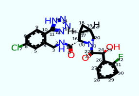 O=C(NCc1cc(Cl)ccc1-c1nnn[nH]1)[C@@H]1[C@H]2C[C@H]2CN1C(=O)C(O)c1ccccc1F